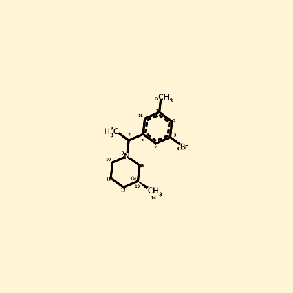 Cc1cc(Br)cc(C(C)N2CCC[C@H](C)C2)c1